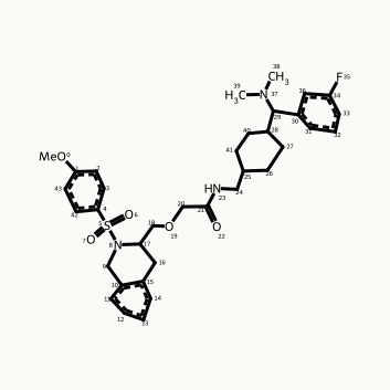 COc1ccc(S(=O)(=O)N2Cc3ccccc3CC2COCC(=O)NCC2CCC(C(c3cccc(F)c3)N(C)C)CC2)cc1